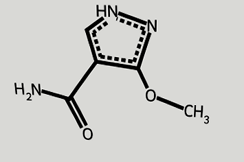 COc1n[nH]cc1C(N)=O